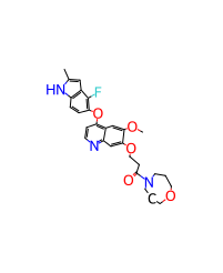 COc1cc2c(Oc3ccc4[nH]c(C)cc4c3F)ccnc2cc1OCCC(=O)N1CCCOCCC1